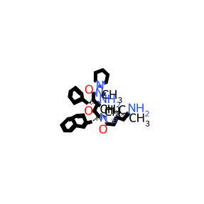 CN(C(=O)/C=C/CC(C)(C)N)[C@H](Cc1ccc2ccccc2c1)C(=O)C(C)(N)[C@H](Cc1ccccc1)C(=O)N(C)N1CCCCC1